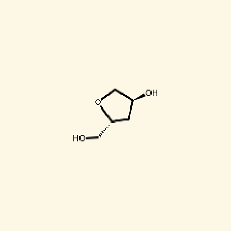 OC[C@H]1C[C@H](O)CO1